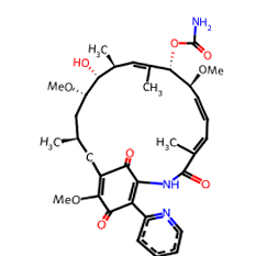 COC1=C2C[C@@H](C)C[C@H](OC)[C@H](O)[C@@H](C)/C=C(\C)[C@H](OC(N)=O)[C@@H](OC)/C=C\C=C(/C)C(=O)NC(=C(c3ccccn3)C1=O)C2=O